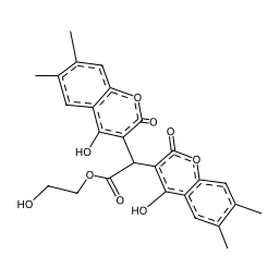 Cc1cc2oc(=O)c(C(C(=O)OCCO)c3c(O)c4cc(C)c(C)cc4oc3=O)c(O)c2cc1C